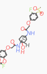 CS(=O)(=O)c1ccc(OCC(=O)NC23CCC(NC(=O)COc4ccc5c(c4)OC(F)(F)O5)(CC2)[C@@H](O)C3)cc1F